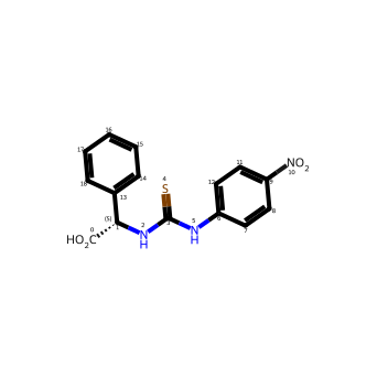 O=C(O)[C@@H](NC(=S)Nc1ccc([N+](=O)[O-])cc1)c1ccccc1